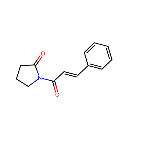 O=C(C=Cc1ccccc1)N1CCCC1=O